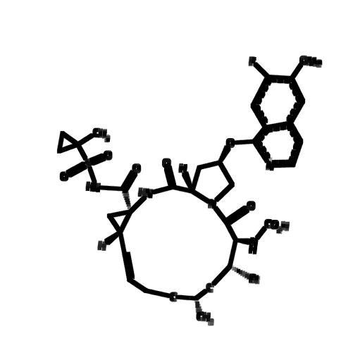 CC[C@@H]1C[C@H](C)CC/C=C\[C@@H]2C[C@@]2(C(=O)NS(=O)(=O)C2(C)CC2)NC(=O)[C@@H]2C[C@@H](Oc3nccc4cc(OC)c(F)cc34)CN2C(=O)[C@H]1NC(=O)O